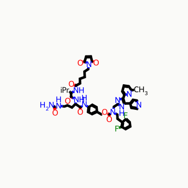 Cc1cccc(-c2nc(CN(CCc3c(F)cccc3F)C(=O)OCc3ccc(NC(=O)C(CCCNC(N)=O)NC(=O)C(NC(=O)CCCCCN4C(=O)C=CC4=O)C(C)C)cc3)[nH]c2-c2ccncc2)n1